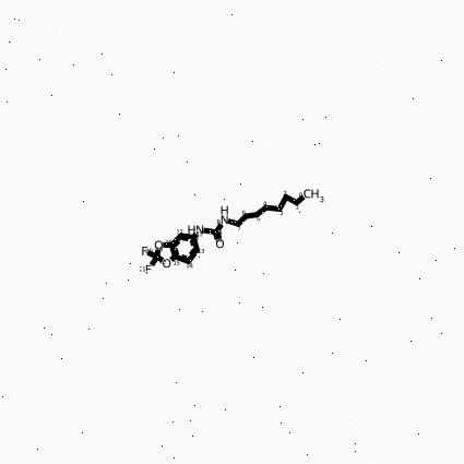 CCCCCCCCNC(=O)Nc1ccc2c(c1)OC(F)(F)O2